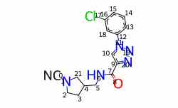 N#CN1CCC(CNC(=O)c2cn(-c3cccc(Cl)c3)nn2)C1